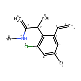 C=Cc1cc(CC)cc(Cl)c1C(CCCC)C(=C)NCCC